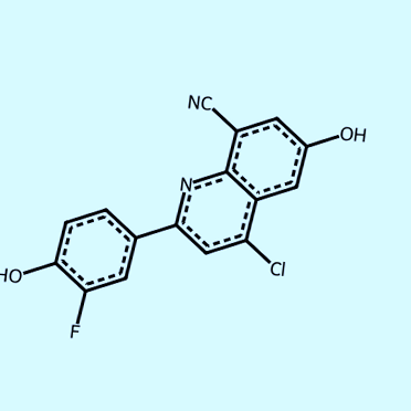 N#Cc1cc(O)cc2c(Cl)cc(-c3ccc(O)c(F)c3)nc12